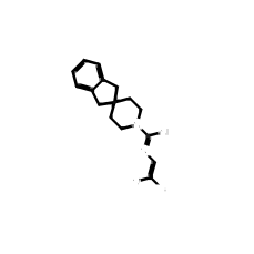 N/C(Br)=C\N=C(/N)N1CCC2(CC1)Cc1ccccc1C2